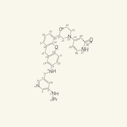 CC(C)Nc1cncc(CNc2ccc3c(c2)Cc2cccc(C4CN(c5cc[nH]c(=O)c5)CCO4)c2O3)c1